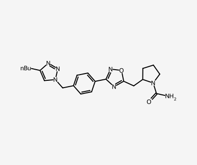 CCCCc1cn(Cc2ccc(-c3noc(CC4CCCN4C(N)=O)n3)cc2)nn1